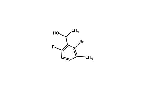 Cc1ccc(F)c(C(C)O)c1Br